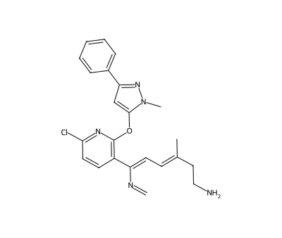 C=N/C(=C\C=C(/C)CCN)c1ccc(Cl)nc1Oc1cc(-c2ccccc2)nn1C